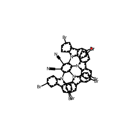 N#Cc1c(C#N)c(-n2c3ccc(Br)cc3c3cc(Br)ccc32)c(-n2c3ccc(Br)cc3c3cc(Br)ccc32)c(-n2c3ccc(Br)cc3c3cc(Br)ccc32)c1-n1c2ccc(Br)cc2c2cc(Br)ccc21